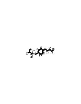 C=C(C)C(=O)OCc1ccc(CCCCC)cc1